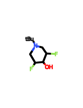 CC(C)(C)N1CC(F)C(O)C(F)C1